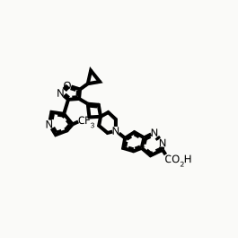 O=C(O)c1cc2ccc(N3CCC4(C=C(c5c(-c6cnccc6C(F)(F)F)noc5C5CC5)C4)CC3)cc2nn1